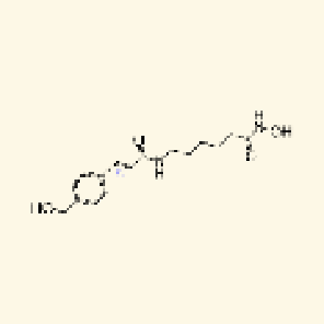 O=C(/C=C/c1ccc(CO)cc1)NCCCCCC(=O)NO